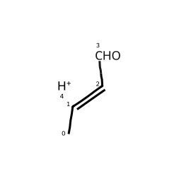 C/C=C/C=O.[H+]